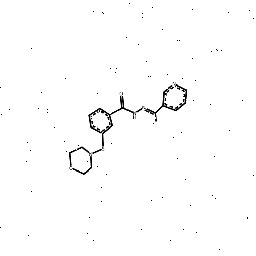 C/C(=N\NC(=O)c1cccc(SN2CCOCC2)c1)c1cccnc1